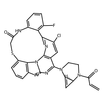 C=CC(=O)N1CCN(c2nc(=O)n3c4nc(c(Cl)cc24)-c2c(F)cccc2NC(=O)CSc2cccc(C(C)C)c2-3)C2=C[C@@H]21